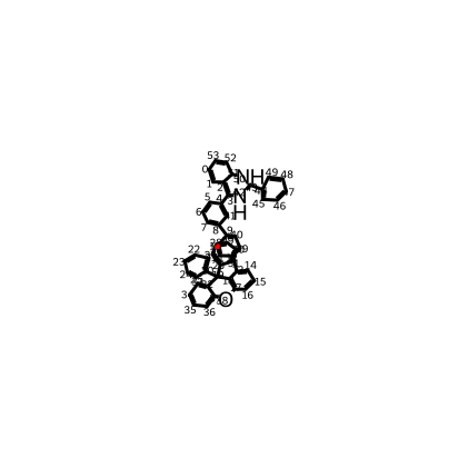 C1=CC2=C(c3cccc(-c4ccc(-c5cccc6c5C(c5ccccc5)(c5ccccc5)c5ccccc5O6)cc4)c3)NC(c3ccccc3)NC2C=C1